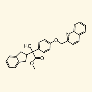 COC(=O)C(O)(c1ccc(OCc2ccc3ccccc3n2)cc1)C1Cc2ccccc2C1